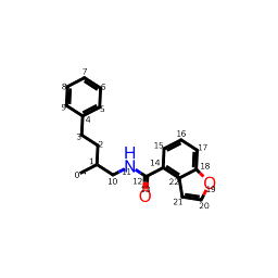 [CH2]C(CCc1ccccc1)CNC(=O)c1cccc2occc12